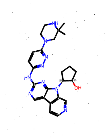 CC1(C)CN(c2ccc(Nc3ncc4c5ccncc5n([C@H]5CCC[C@H]5O)c4n3)nn2)CCN1